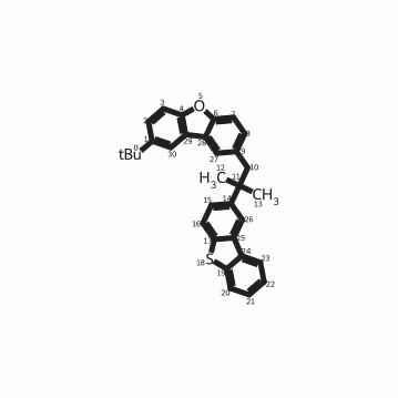 CC(C)(C)c1ccc2oc3ccc(CC(C)(C)c4ccc5sc6ccccc6c5c4)cc3c2c1